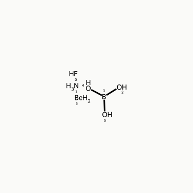 F.N.OB(O)O.[BeH2]